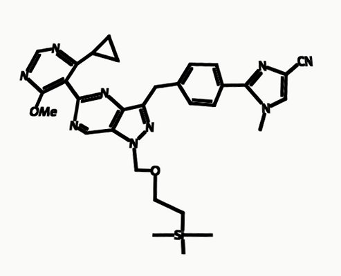 COc1ncnc(C2CC2)c1-c1ncc2c(n1)c(Cc1ccc(-c3nc(C#N)cn3C)cc1)nn2COCC[Si](C)(C)C